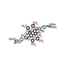 CO[SiH](CCN1CCN(C(=O)C(C(C)C)N2C(=O)c3cc(Oc4ccc(C)cc4C)c4c5c(Oc6ccc(C)cc6C)cc6c7c(cc(Oc8ccc(C)cc8C)c(c8c(Oc9ccc(C)cc9C)cc(c3c48)C2=O)c75)C(=O)N(C(C(=O)N2CCN(CC[SiH](OC)OC)CC2)C(C)C)C6=O)CC1)OC